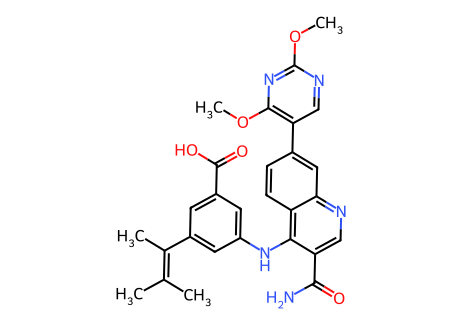 COc1ncc(-c2ccc3c(Nc4cc(C(=O)O)cc(C(C)=C(C)C)c4)c(C(N)=O)cnc3c2)c(OC)n1